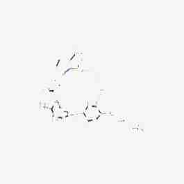 C=C/C1=C(\C=C/C)N(C)CCCCc2cc(ccc2OCCCN)-c2cnc(N)c(n2)C(=O)N1